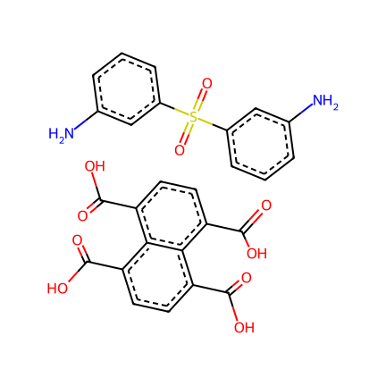 Nc1cccc(S(=O)(=O)c2cccc(N)c2)c1.O=C(O)c1ccc(C(=O)O)c2c(C(=O)O)ccc(C(=O)O)c12